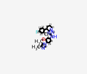 COc1cc(Nc2nc3n(n2)CCCC3c2ccc(F)cc2C)ccc1-n1cnc(C)c1